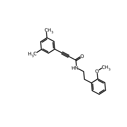 COc1ccccc1CCNC(=O)C#Cc1cc(C)cc(C)c1